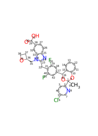 CC1(c2ccc(Cl)cn2)Oc2ccccc2C(c2cc(F)c(Cc3nc4ccc(C(=O)O)cc4n3C[C@@H]3CCO3)c(F)c2)O1